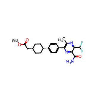 Cc1nc(C(F)F)c(C(N)=O)nc1-c1ccc([C@H]2CC[C@H](CC(=O)OC(C)(C)C)CC2)cc1